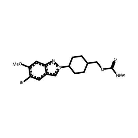 CNC(=O)OCC1CCC(n2cc3cc(Br)c(OC)cc3n2)CC1